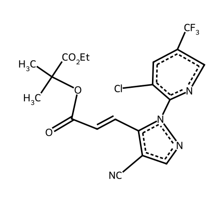 CCOC(=O)C(C)(C)OC(=O)C=Cc1c(C#N)cnn1-c1ncc(C(F)(F)F)cc1Cl